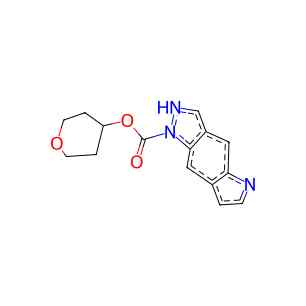 O=C(OC1CCOCC1)n1[nH]cc2cc3nccc3cc21